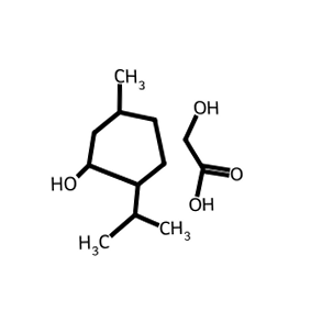 CC1CCC(C(C)C)C(O)C1.O=C(O)CO